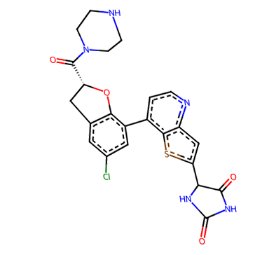 O=C1NC(=O)C(c2cc3nccc(-c4cc(Cl)cc5c4O[C@@H](C(=O)N4CCNCC4)C5)c3s2)N1